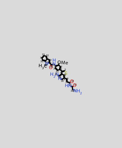 COc1cc(-c2csc3c(/C=C/C(=O)NC(=O)CN)cnc(N)c23)ccc1NC(=O)c1cc2ccccc2n1C